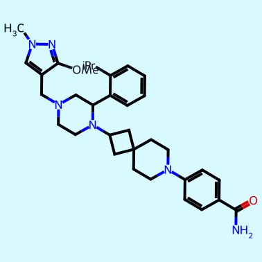 COc1nn(C)cc1CN1CCN(C2CC3(CCN(c4ccc(C(N)=O)cc4)CC3)C2)C(c2ccccc2C(C)C)C1